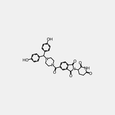 O=C1CCC(N2C(=O)c3ccc(C(=O)N4CCN(C(c5ccc(O)cc5)c5ccc(O)cc5)CC4)cc3C2=O)C(=O)N1